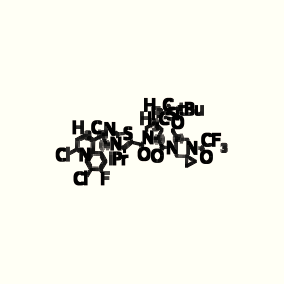 CC(C)C1=C(C(=O)N2C[C@H](F)C[C@H]2C(=O)N2CC3(CC3)N(C(=O)C(F)(F)F)C[C@@H]2CO[Si](C)(C)C(C)(C)C)SC2=N[C@@](C)(c3ccc(Cl)nc3)[C@@H](c3ccc(Cl)c(F)c3)N21